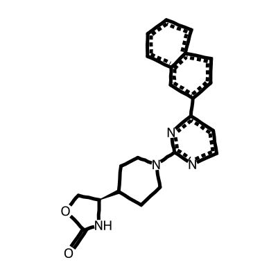 O=C1N[C@H](C2CCN(c3nccc(-c4ccc5ccccc5c4)n3)CC2)CO1